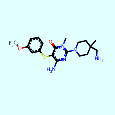 Cn1c(N2CCC(C)(CN)CC2)nc(N)c(Sc2cccc(OC(F)(F)F)c2)c1=O